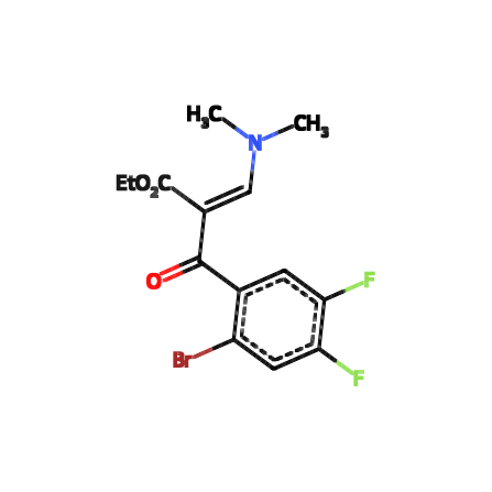 CCOC(=O)C(=CN(C)C)C(=O)c1cc(F)c(F)cc1Br